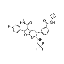 CNC(=O)c1c(-c2ccc(F)cc2)oc2nc(NCC(F)(F)F)c(-c3cccc(C(=O)NC45CC(C4)C5)c3)cc12